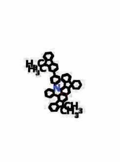 CC1(C)c2ccccc2-c2ccc(-c3ccc(N(c4ccccc4-c4cccc5c4-c4ccccc4C5(C)C)c4cccc5c4-c4ccccc4C54CCCCC4)cc3)cc21